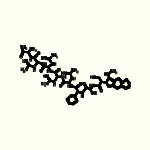 N=C(N)NC(NC(=O)C(NC(=N)N)NC(=O)C(NC(=N)N)NC(=O)C(NC(=N)N)NC(=O)C(NC(=O)C(O)NC(=O)C(CO)C1C=c2cc3ccccc3cc2=C1NN)c1ccccc1)C(=O)NC(N)C(N)=O